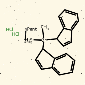 CCCCCC.Cl.Cl.[CH3][Zr]([SiH3])([CH]1C=Cc2ccccc21)[CH]1C=Cc2ccccc21